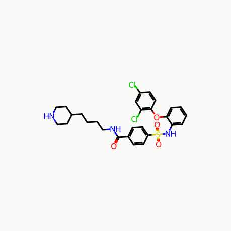 O=C(NCCCCC1CCNCC1)c1ccc(S(=O)(=O)Nc2ccccc2Oc2ccc(Cl)cc2Cl)cc1